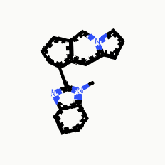 Cn1c(-c2cccc3cn4cccc4cc23)nc2ccccc21